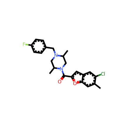 Cc1cc2oc(C(=O)N3CC(C)N(Cc4ccc(F)cc4)CC3C)cc2cc1Cl